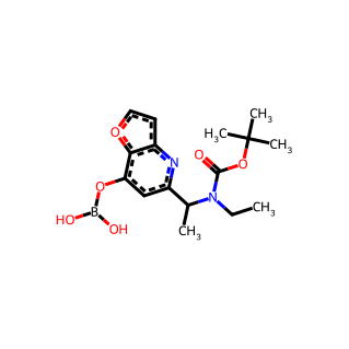 CCN(C(=O)OC(C)(C)C)C(C)c1cc(OB(O)O)c2occc2n1